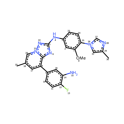 COc1cc(Nc2nc3c(-c4ccc(F)c(N)c4)cc(C)cn3n2)ccc1-n1cnc(C)c1